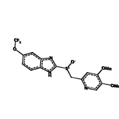 COc1cnc(C[S+]([O-])c2nc3cc(OC(F)(F)F)ccc3[nH]2)cc1OC